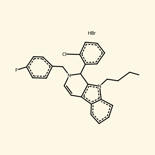 Br.CCCCn1c2c(c3ccccc31)C=CN(Cc1ccc(F)cc1)C2c1ccccc1Cl